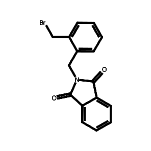 O=C1c2ccccc2C(=O)N1Cc1ccccc1CBr